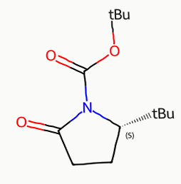 CC(C)(C)OC(=O)N1C(=O)CC[C@H]1C(C)(C)C